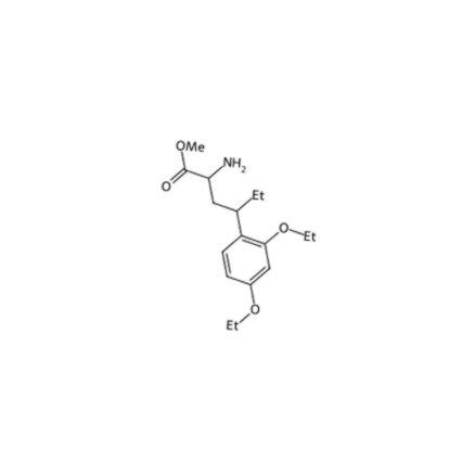 CCOc1ccc(C(CC)CC(N)C(=O)OC)c(OCC)c1